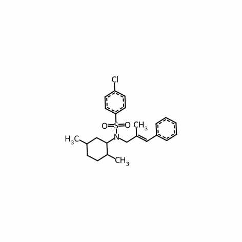 C/C(=C\c1ccccc1)CN(C1CC(C)CCC1C)S(=O)(=O)c1ccc(Cl)cc1